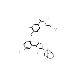 COCCN(C)C(=O)c1ccc(COc2ccc(C)cc2-c2csc(N3CC4CC[C@H](C3)[C@@H]4C(=O)O)n2)c(C)c1